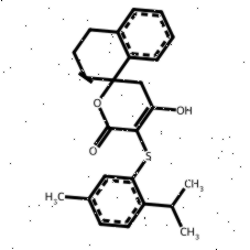 Cc1ccc(C(C)C)c(SC2=C(O)CC3(OC2=O)c2ccccc2CCC32CC2)c1